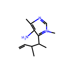 C=CC(C)C(C)c1c(N)c(C)nc[n+]1C